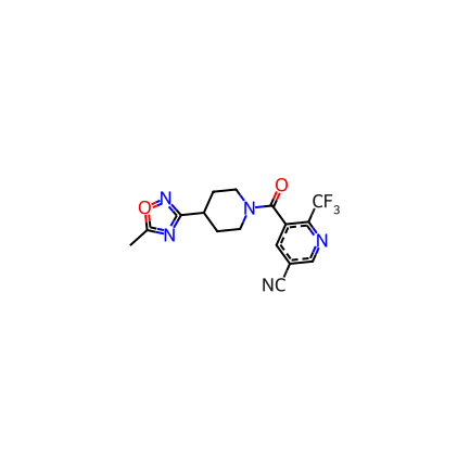 Cc1nc(C2CCN(C(=O)c3cc(C#N)cnc3C(F)(F)F)CC2)no1